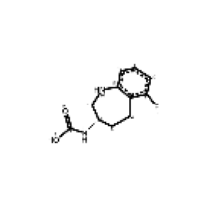 O=C(O)N[C@H]1CCc2c(F)cccc2NC1